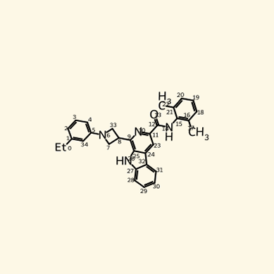 CCc1cccc(N2CC(c3nc(C(=O)Nc4c(C)cccc4C)cc4c3[nH]c3ccccc34)C2)c1